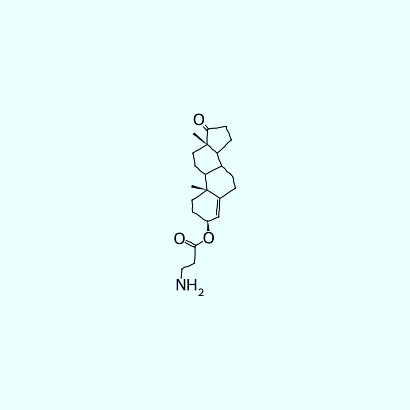 C[C@]12CC[C@H](OC(=O)CCN)C=C1CCC1C2CC[C@]2(C)C(=O)CCC12